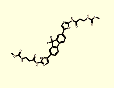 COC(=O)NCCC(=O)Pc1ncc(-c2ccc3c(c2)C(F)(F)c2cc(-c4cnc(PC(=O)CCNC(=O)OC)[nH]4)ccc2-3)[nH]1